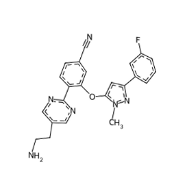 Cn1nc(-c2cccc(F)c2)cc1Oc1cc(C#N)ccc1-c1ncc(CCN)cn1